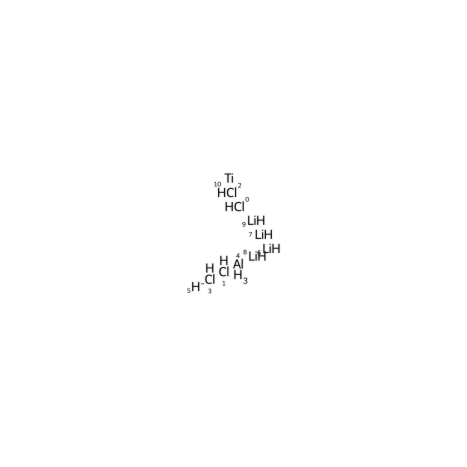 Cl.Cl.Cl.Cl.[AlH3].[H-].[LiH].[LiH].[LiH].[LiH].[Ti]